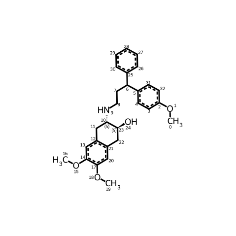 COc1ccc(C(CCN[C@H]2Cc3cc(OC)c(OC)cc3C[C@@H]2O)c2ccccc2)cc1